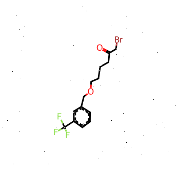 O=C(CBr)CCCCOCc1cccc(C(F)(F)F)c1